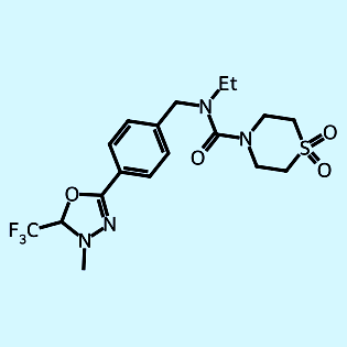 CCN(Cc1ccc(C2=NN(C)C(C(F)(F)F)O2)cc1)C(=O)N1CCS(=O)(=O)CC1